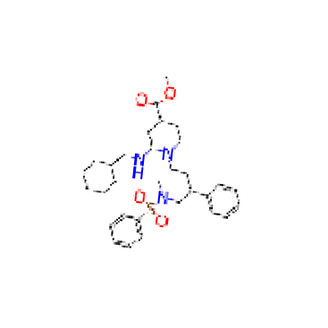 COC(=O)C1CCN(CCC(CN(C)S(=O)(=O)c2ccccc2)c2ccccc2)C(NCC2CCCCC2)C1